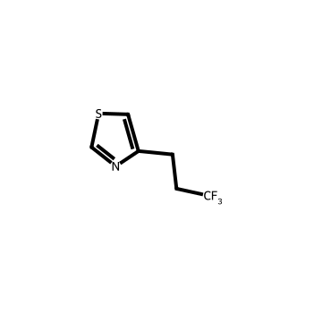 FC(F)(F)CCc1cscn1